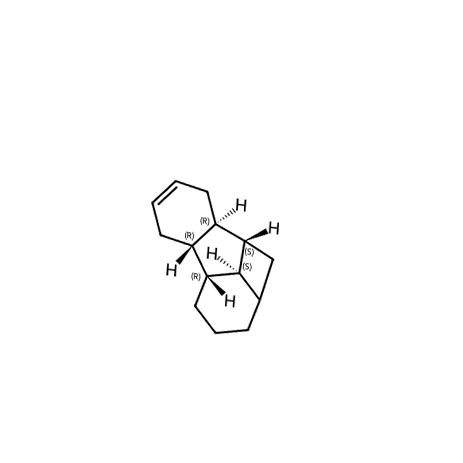 C1=CC[C@@H]2[C@@H](C1)[C@H]1CCCC3C[C@@H]2[C@@H]31